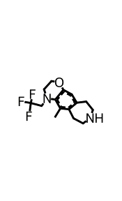 Cc1c2c(cc3c1N(CC(F)(F)F)CCO3)CCNCC2